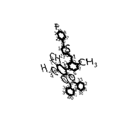 CC[C@H]1C=C(c2ccc(C)c(Cc3ccc(-c4ccc(F)cc4)s3)c2)[C@H](OCc2ccccc2)[C@@H](OCc2ccccc2)[C@@H]1C